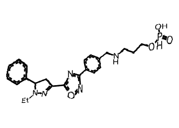 CCN1N=C(c2nc(-c3ccc(CNCCCO[PH](=O)O)cc3)no2)CC1c1ccccc1